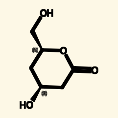 O=C1C[C@@H](O)C[C@@H](CO)O1